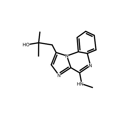 CNc1nc2ccccc2n2c(CC(C)(C)O)cnc12